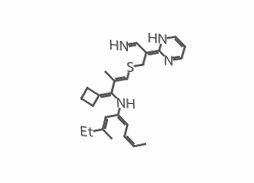 C\C=C/C=C(\C=C(/C)CC)NC(=C1CCC1)/C(C)=C/SC/C(C=N)=C1\N=CC=CN1